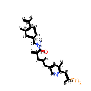 C=C(/C=C(\C)Cc1cnc(/C=C(\C)P)c(C)c1)C(=O)N(C)Cc1ccc(C(=C)C)c(C)c1